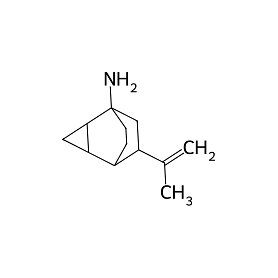 C=C(C)C1CC2(N)CCC1C1CC12